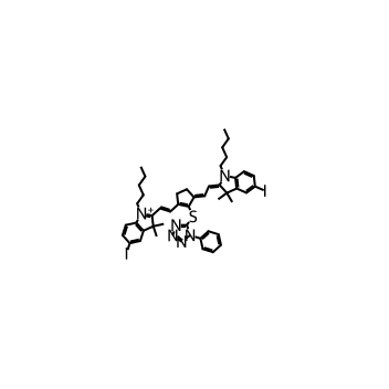 CCCCCN1/C(=C/C=C2\CCC(/C=C/C3=[N+](CCCCC)c4ccc(I)cc4C3(C)C)=C2Sc2nnnn2-c2ccccc2)C(C)(C)c2cc(I)ccc21